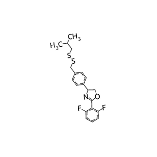 CC(C)CSSCc1ccc(C2COC(c3c(F)cccc3F)=N2)cc1